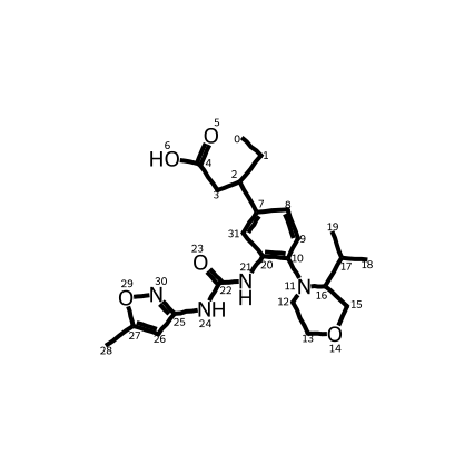 CCC(CC(=O)O)c1ccc(N2CCOCC2C(C)C)c(NC(=O)Nc2cc(C)on2)c1